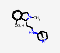 CN1Cc2cccc(C(=O)O)c2[C@@H]1CCNC1CN2CCC1CC2